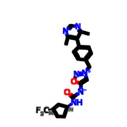 Cc1ncnc(C)c1-c1ccc(C[n+]2cc([N-]C(=O)N[C@H]3CC[C@H](C(F)(F)F)C3)on2)cc1